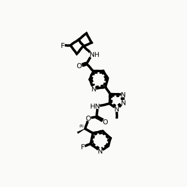 C[C@@H](OC(=O)Nc1c(-c2ccc(C(=O)NC34CCC3C(F)C4)cn2)nnn1C)c1cccnc1F